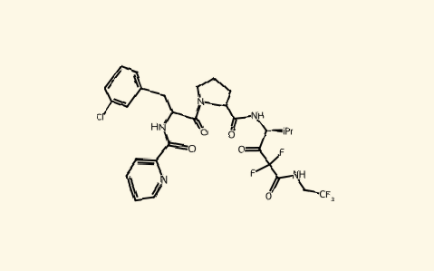 CC(C)[C@H](NC(=O)C1CCCN1C(=O)C(Cc1cccc(Cl)c1)NC(=O)c1ccccn1)C(=O)C(F)(F)C(=O)NCC(F)(F)F